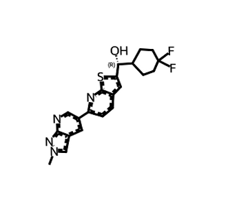 Cn1cc2cc(-c3ccc4cc([C@H](O)C5CCC(F)(F)CC5)sc4n3)cnc2n1